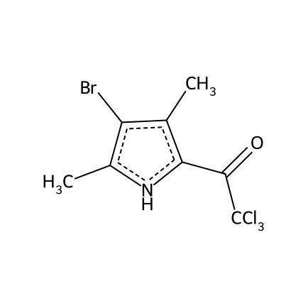 Cc1[nH]c(C(=O)C(Cl)(Cl)Cl)c(C)c1Br